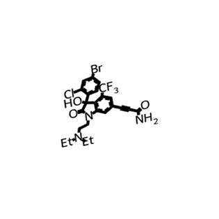 CCN(CC)CCN1C(=O)C(O)(c2ccc(Br)cc2Cl)c2c1cc(C#CC(N)=O)cc2C(F)(F)F